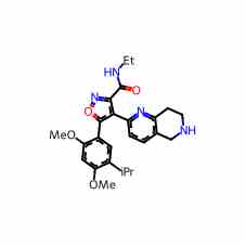 CCNC(=O)c1noc(-c2cc(C(C)C)c(OC)cc2OC)c1-c1ccc2c(n1)CCNC2